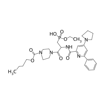 CCCCOC(=O)N1CCN(C(=O)C(CP(=O)(O)OCC)NC(=O)c2cc(N3CCCC3)cc(-c3ccccc3)n2)CC1